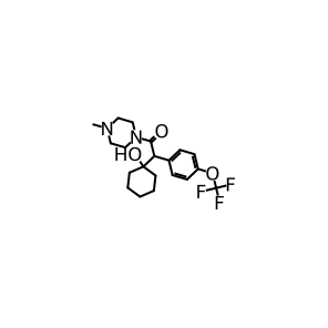 CN1CCN(C(=O)C(c2ccc(OC(F)(F)F)cc2)C2(O)CCCCC2)CC1